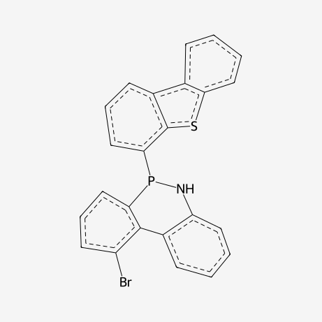 Brc1cccc2c1-c1ccccc1NP2c1cccc2c1sc1ccccc12